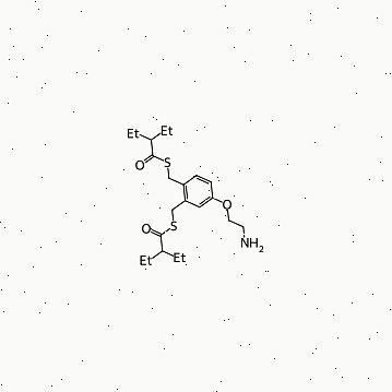 CCC(CC)C(=O)SCc1ccc(OCCN)cc1CSC(=O)C(CC)CC